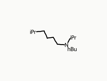 CCCCN(CCCCC(C)C)C(C)C